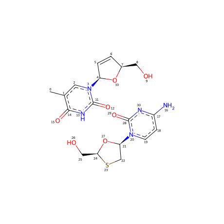 Cc1cn([C@H]2C=C[C@@H](CO)O2)c(=O)[nH]c1=O.Nc1ccn([C@H]2CS[C@@H](CO)O2)c(=O)n1